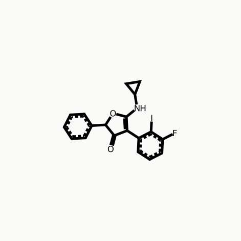 O=C1C(c2cccc(F)c2I)=C(NC2CC2)OC1c1ccccc1